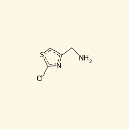 NCc1csc(Cl)n1